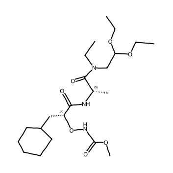 CCOC(CN(CC)C(=O)[C@H](C)NC(=O)[C@@H](CC1CCCCC1)ONC(=O)OC)OCC